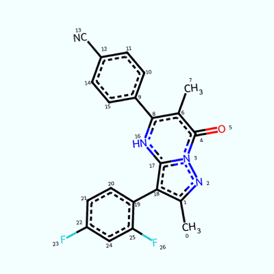 Cc1nn2c(=O)c(C)c(-c3ccc(C#N)cc3)[nH]c2c1-c1ccc(F)cc1F